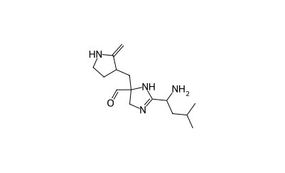 C=C1NCCC1CC1(C=O)CN=C(C(N)CC(C)C)N1